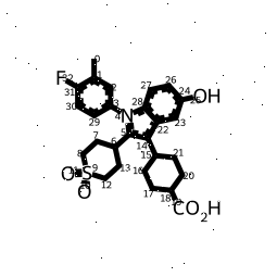 Cc1cc(-n2c(C3CCS(=O)(=O)CC3)c(C3CCC(C(=O)O)CC3)c3cc(O)ccc32)ccc1F